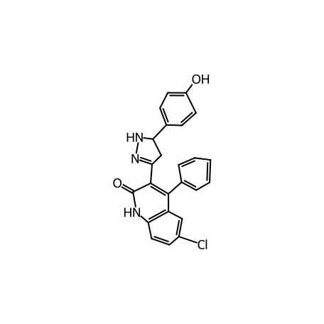 O=c1[nH]c2ccc(Cl)cc2c(-c2ccccc2)c1C1=NNC(c2ccc(O)cc2)C1